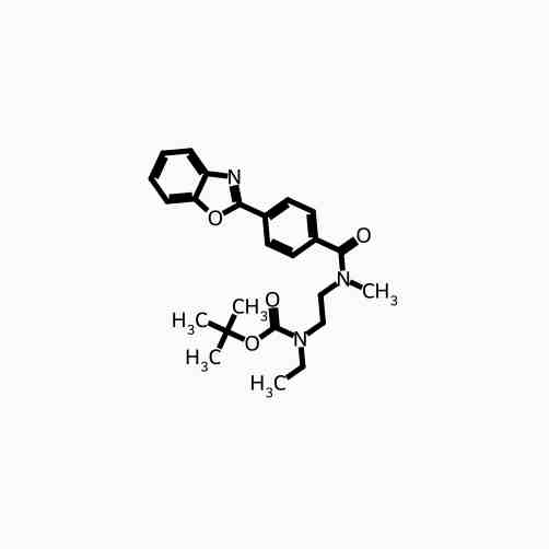 CCN(CCN(C)C(=O)c1ccc(-c2nc3ccccc3o2)cc1)C(=O)OC(C)(C)C